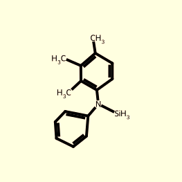 Cc1ccc(N([SiH3])c2ccccc2)c(C)c1C